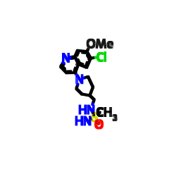 COc1cc2nccc(N3CCC(CNS(C)(=N)=O)CC3)c2cc1Cl